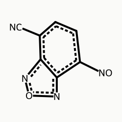 N#Cc1ccc(N=O)c2nonc12